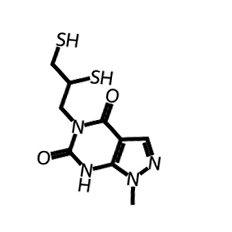 Cn1ncc2c(=O)n(CC(S)CS)c(=O)[nH]c21